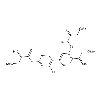 C=C(COC)C(=O)Oc1ccc(-c2ccc(C(=C)COC)c(OC(=O)C(=C)COC)c2)c(CC)c1